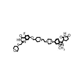 Cn1nc(C2CCC(=O)NC2=O)c2ccc(N3CCN(CCN4CCC(COc5cc(F)c6c(=O)[nH]c(CSC7CCOCC7)nc6c5)CC4)CC3)cc21